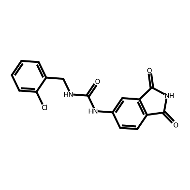 O=C(NCc1ccccc1Cl)Nc1ccc2c(c1)C(=O)NC2=O